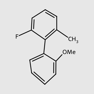 COc1ccccc1-c1c(C)cccc1F